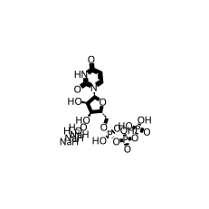 O.O.O=c1ccn([C@@H]2O[C@H](COP(=O)(O)OP(=O)(O)OP(=O)(O)O)[C@@H](O)[C@H]2O)c(=O)[nH]1.[NaH].[NaH].[NaH]